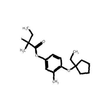 CCC1(Oc2ccc(OC(=O)C(C)(I)CC)cc2C)CCCC1